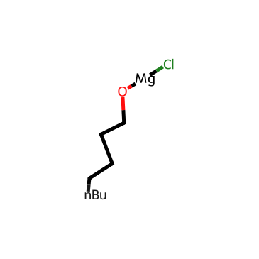 CCCCCCCC[O][Mg][Cl]